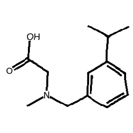 CC(C)c1cccc(CN(C)CC(=O)O)c1